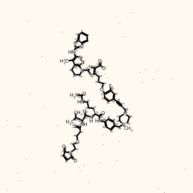 Cc1c(Nc2nc3ccccc3s2)nnc2c1CCCN2c1nc(C(=O)[O-])c(CCCOc2ccc(C#CCN3CC[N+](C)(Cc4ccc(NC(=O)[C@H](CCCNC(N)=O)NC(=O)[C@@H](NC(=O)CCOCCN5C(=O)C=CC5=O)C(C)C)cc4)CC3)cc2F)s1